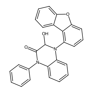 O=C1C(O)N(c2cccc3oc4ccccc4c23)c2ccccc2N1c1ccccc1